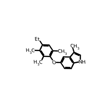 CCc1cc(C)c(Oc2ccc3[nH]cc(C)c3c2)c(C)c1C